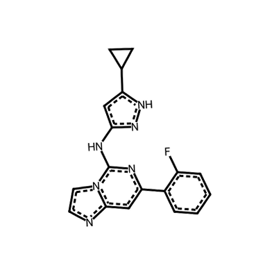 Fc1ccccc1-c1cc2nccn2c(Nc2cc(C3CC3)[nH]n2)n1